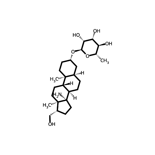 C[C@@H]1O[C@@H](O[C@H]2CC[C@@]3(C)[C@H](CC[C@@H]4[C@@H]3CC[C@]3(C)[C@@H](CO)CC[C@]43N)C2)[C@H](O)[C@H](O)[C@H]1O